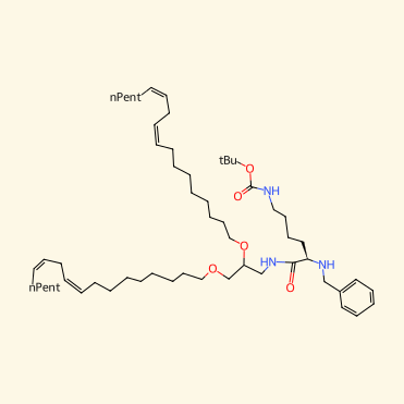 CCCCC/C=C\C/C=C\CCCCCCCCOCC(CNC(=O)[C@@H](CCCCNC(=O)OC(C)(C)C)NCc1ccccc1)OCCCCCCCC/C=C\C/C=C\CCCCC